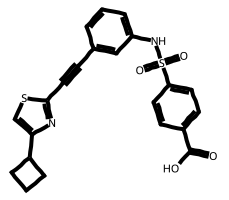 O=C(O)c1ccc(S(=O)(=O)Nc2cccc(C#Cc3nc(C4CCC4)cs3)c2)cc1